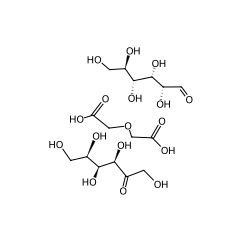 O=C(CO)[C@H](O)[C@@H](O)[C@H](O)CO.O=C(O)COCC(=O)O.O=C[C@H](O)[C@@H](O)[C@H](O)[C@H](O)CO